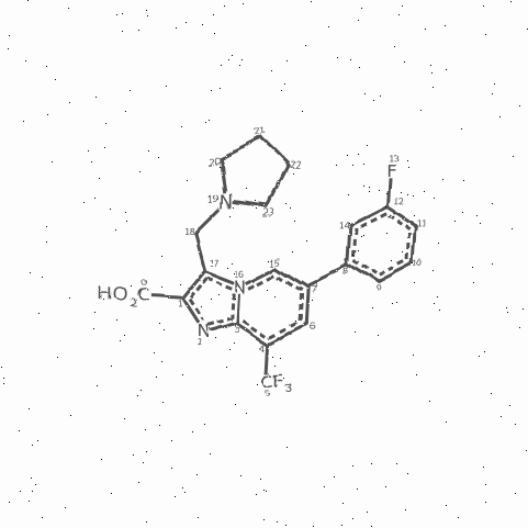 O=C(O)c1nc2c(C(F)(F)F)cc(-c3cccc(F)c3)cn2c1CN1CCCC1